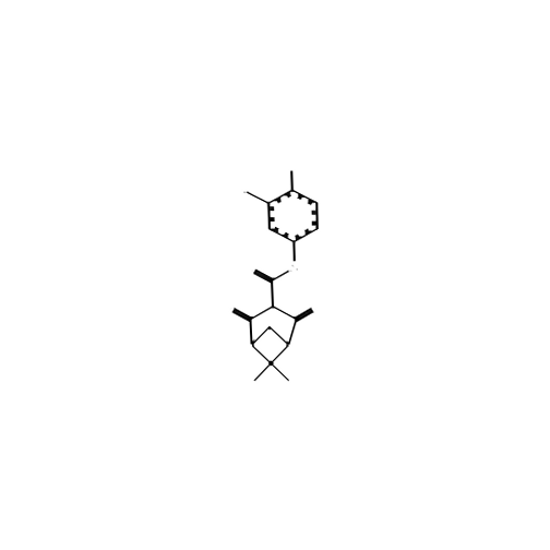 CC1(C)C2CC1C(=O)C(C(=O)Nc1ccc(F)c(Cl)c1)C2=O